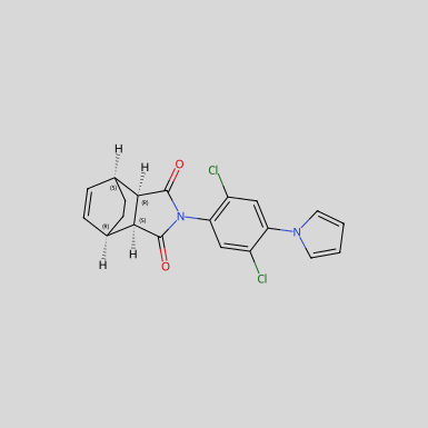 O=C1[C@@H]2[C@H](C(=O)N1c1cc(Cl)c(-n3cccc3)cc1Cl)[C@@H]1C=C[C@H]2CC1